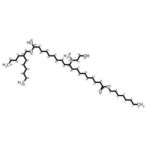 CCCCCCCCOC(=O)CCCCCCCCC(CCCCCCCCC(O)OCC(CCCC)CCCCCC)N(C)CCO